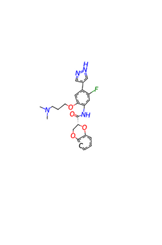 CN(C)CCCOc1cc(-c2cn[nH]c2)c(F)cc1NC(=O)[C@H]1COc2ccccc2O1